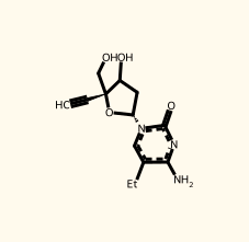 C#C[C@]1(CO)O[C@@H](n2cc(CC)c(N)nc2=O)CC1O